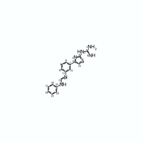 N=C(N)Nc1nc(-c2cccc(/N=C/Nc3ccccc3)c2)cs1